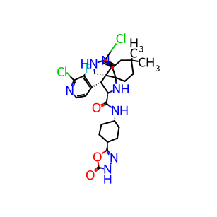 CC1(C)CCC2(CC1)N[C@@H](C(=O)N[C@H]1CC[C@H](c3n[nH]c(=O)o3)CC1)[C@H](c1ccnc(Cl)c1F)[C@]21CNc2nc(Cl)ccc21